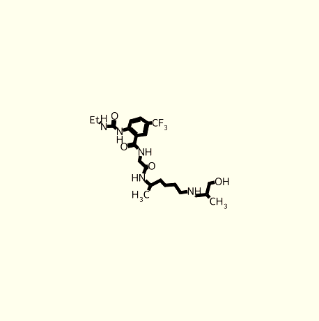 CCNC(=O)Nc1ccc(C(F)(F)F)cc1C(=O)NCC(=O)NC(C)CCCCNCC(C)CO